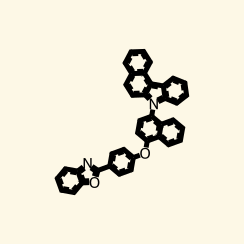 c1ccc2c(c1)ccc1c2c2ccccc2n1-c1ccc(Oc2ccc(-c3nc4ccccc4o3)cc2)c2ccccc12